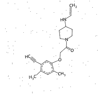 C#Cc1cc(OCC(=O)N2CCC(NC=C)CC2)c(C)cc1C